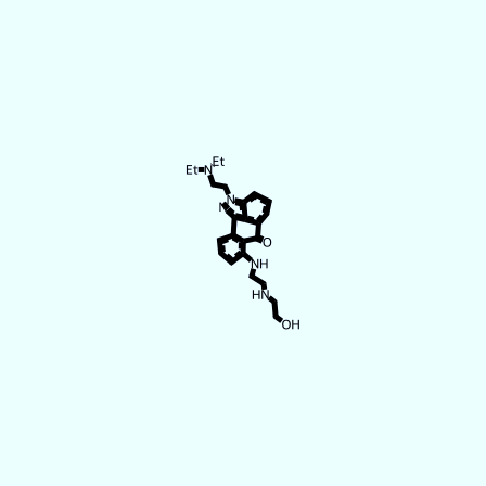 CCN(CC)CCn1nc2c3c(cccc31)C(=O)c1c(NCCNCCO)cccc1-2